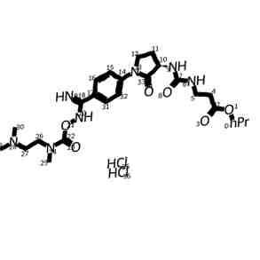 CCCOC(=O)CCNC(=O)N[C@H]1CCN(c2ccc(C(=N)NOC(=O)N(C)CCN(C)C)cc2)C1=O.Cl.Cl